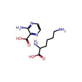 NCCCCC(N)C(=O)O.Nc1nccnc1C(=O)O